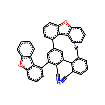 N#Cc1cccc(C#N)c1-c1cc(-c2cccc3oc4ccccc4c23)cc(-c2cccc3oc4ccccc4c23)c1C#N